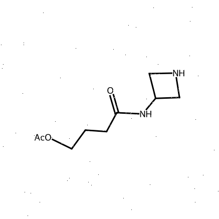 CC(=O)OCCCC(=O)NC1CNC1